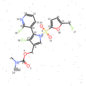 CN(C(=O)OCc1cn(S(=O)(=O)c2ccc(CF)o2)c(-c2cccnc2F)c1F)C(C)(C)C